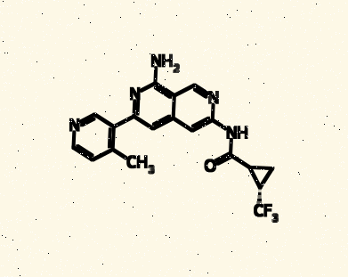 Cc1ccncc1-c1cc2cc(NC(=O)C3C[C@@H]3C(F)(F)F)ncc2c(N)n1